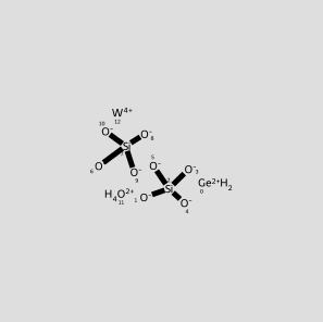 [GeH2+2].[O-][Si]([O-])([O-])[O-].[O-][Si]([O-])([O-])[O-].[OH4+2].[W+4]